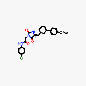 COc1ccc(C2=CC=CC(/C=C3\NC(=O)N(CC(=O)Nc4ccc(Cl)cc4)C3=O)C2)cc1